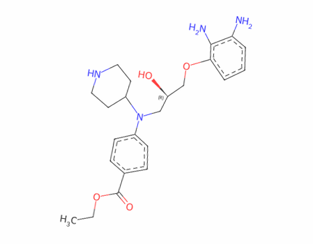 CCOC(=O)c1ccc(N(C[C@@H](O)COc2cccc(N)c2N)C2CCNCC2)cc1